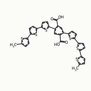 Cc1ccc(-c2ccc(-c3ccc(-c4cc(C(=O)O)c(-c5ccc(-c6ccc(-c7ccc(C)s7)s6)s5)cc4C(=O)O)s3)s2)s1